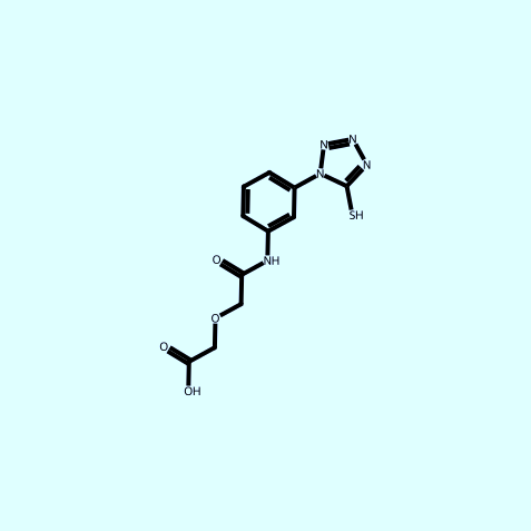 O=C(O)COCC(=O)Nc1cccc(-n2nnnc2S)c1